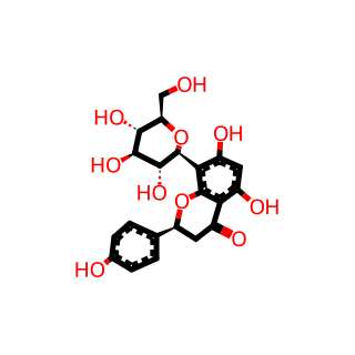 O=C1C[C@@H](c2ccc(O)cc2)Oc2c1c(O)cc(O)c2[C@@H]1O[C@H](CO)[C@@H](O)[C@H](O)[C@H]1O